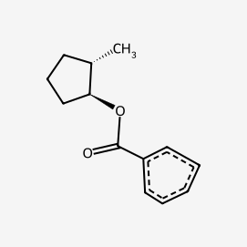 C[C@H]1CCC[C@@H]1OC(=O)c1ccccc1